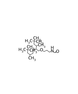 CC(CCC(COCCCNC=O)C(C)CC(C)(C)C)CC(C)(C)C